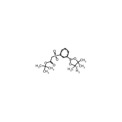 CC(C)(C)OC(=O)CS(=O)(=O)c1cccc(B2OC(C)(C)C(C)(C)O2)c1